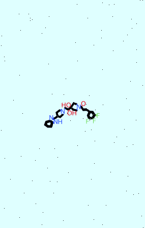 O=C(/C=C/c1cc(F)c(F)c(F)c1)N1CCC(O)(C(O)CN2CCC(c3nc4ccccc4[nH]3)CC2)CC1